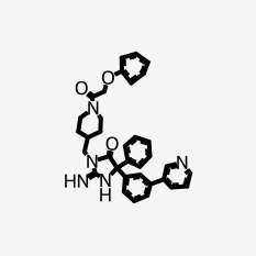 N=C1NC(c2ccccc2)(c2cccc(-c3cccnc3)c2)C(=O)N1CC1CCN(C(=O)COc2ccccc2)CC1